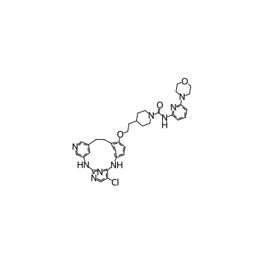 O=C(Nc1cccc(N2CCOCC2)n1)N1CCC(CCOc2ccc3cc2CCc2cncc(c2)Nc2ncc(Cl)c(n2)N3)CC1